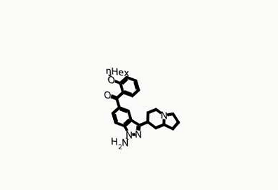 CCCCCCOc1ccccc1C(=O)c1ccc2c(c1)c(C1CCN3CCCC3C1)nn2N